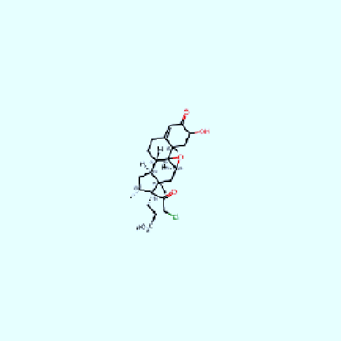 C[C@@H]1C[C@H]2[C@@H]3CCC4=CC(=O)C(O)C[C@]4(C)[C@@]34O[C@H]4C[C@]2(C)[C@@]1(CCC(=O)O)C(=O)CCl